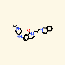 CC(=O)N1CCC(Nc2ccc3c(c2)C(=O)N(CCCN2CCc4ccccc4C2)CC3)CC1